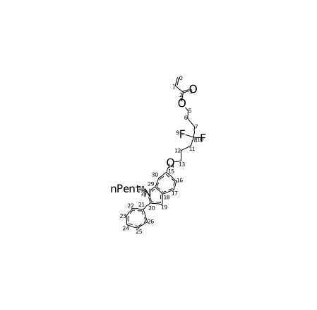 C=CC(=O)OCCCC(F)(F)CCCOc1ccc2cc(-c3ccccc3)n(CCCCC)c2c1